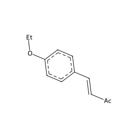 CCOc1ccc(/C=C/C(C)=O)cc1